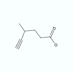 C#CC(C)CCC([O])=O